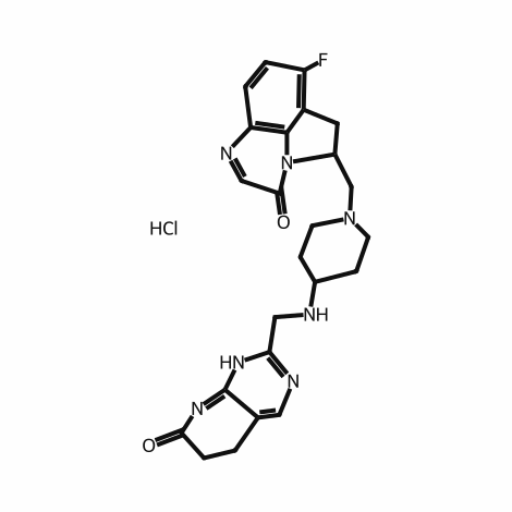 Cl.O=C1CCC2=CN=C(CNC3CCN(CC4Cc5c(F)ccc6ncc(=O)n4c56)CC3)NC2=N1